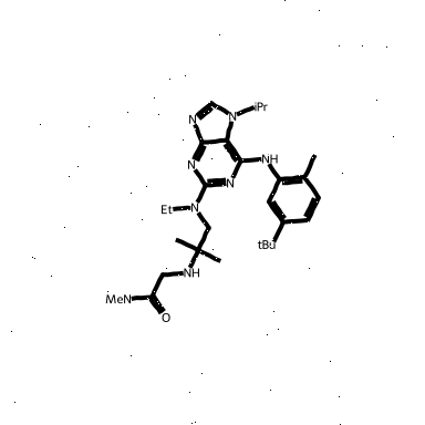 CCN(CC(C)(C)NCC(=O)NC)c1nc(Nc2cc(C(C)(C)C)ccc2C)c2c(ncn2C(C)C)n1